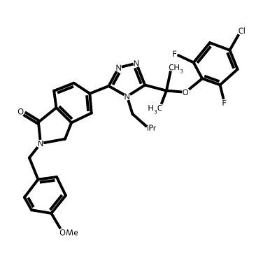 COc1ccc(CN2Cc3cc(-c4nnc(C(C)(C)Oc5c(F)cc(Cl)cc5F)n4CC(C)C)ccc3C2=O)cc1